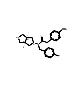 CC(C)COc1ccc(CC(=O)N(Cc2ccc(F)cc2)[C@H]2C[C@H]3CNC[C@H]3C2)cc1